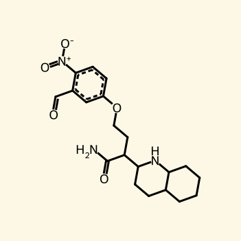 NC(=O)C(CCOc1ccc([N+](=O)[O-])c(C=O)c1)C1CCC2CCCCC2N1